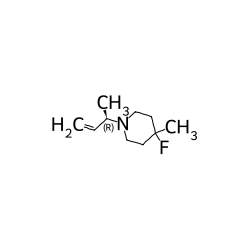 C=C[C@@H](C)N1CCC(C)(F)CC1